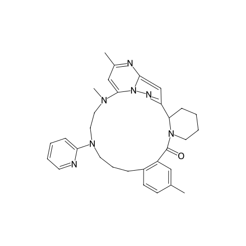 Cc1ccc2c(c1)C(=O)N1CCCCC1c1cc3nc(C)cc(n3n1)N(C)CCN(c1ccccn1)CCC2